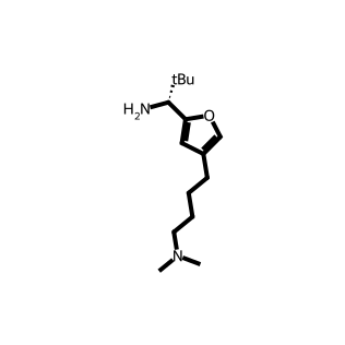 CN(C)CCCCc1coc([C@H](N)C(C)(C)C)c1